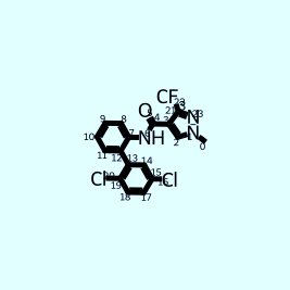 Cn1cc(C(=O)Nc2ccccc2-c2cc(Cl)ccc2Cl)c(C(F)(F)F)n1